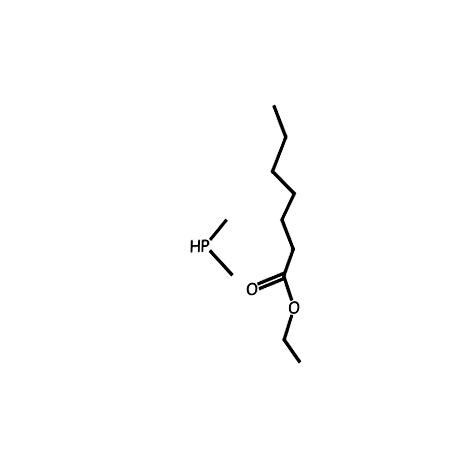 CCCCCCC(=O)OCC.CPC